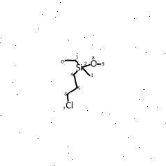 CC[Si](C)(CCCCl)OC